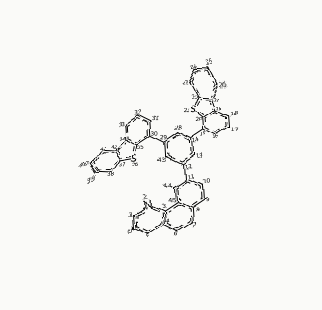 c1cnc2c(c1)ccc1ccc(-c3cc(-c4cccc5c4sc4ccccc45)cc(-c4cccc5c4sc4ccccc45)c3)cc12